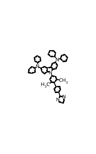 Cc1cc(-n2c3ccc(N(c4ccccc4)c4ccccc4)cc3c3cc(N(c4ccccc4)c4ccccc4)ccc32)cc(C)c1-c1ccc(-c2ncccn2)cc1